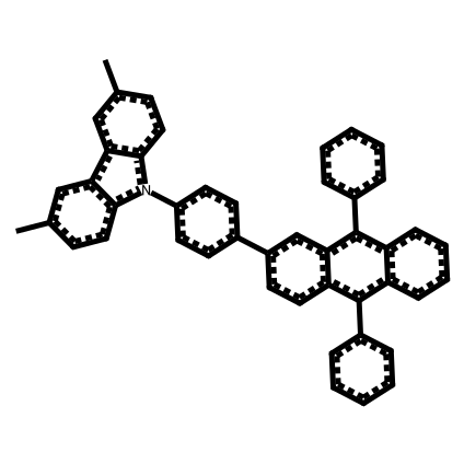 Cc1ccc2c(c1)c1cc(C)ccc1n2-c1ccc(-c2ccc3c(-c4ccccc4)c4ccccc4c(-c4ccccc4)c3c2)cc1